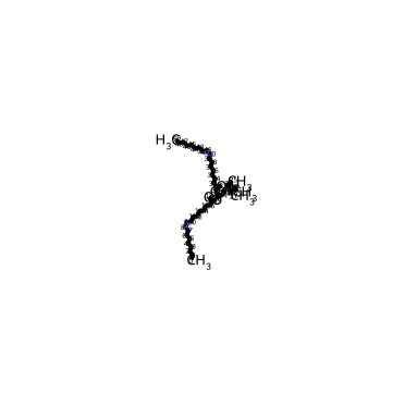 CCCCCCCC/C=C\CCCCCCCC(=O)OC(CC[N+](CC)(CC)CC)OC(=O)CCCCCCC/C=C\CCCCCCCC